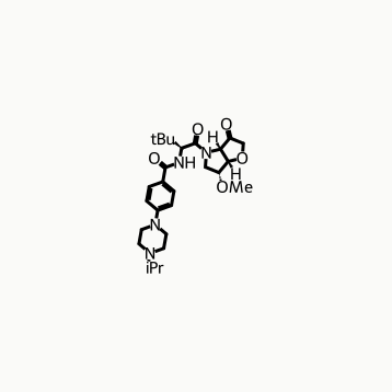 CO[C@@H]1CN(C(=O)[C@@H](NC(=O)c2ccc(N3CCN(C(C)C)CC3)cc2)C(C)(C)C)[C@@H]2C(=O)CO[C@@H]21